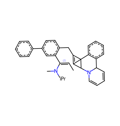 C/C=C(/c1cc(-c2ccccc2)ccc1CC1=C2C3N4C=CC=CC4c4ccccc4C123)N(C)C(C)C